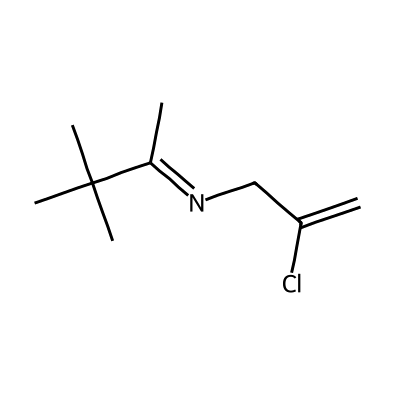 C=C(Cl)C/N=C(\C)C(C)(C)C